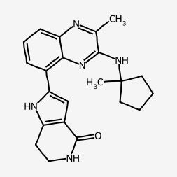 Cc1nc2cccc(-c3cc4c([nH]3)CCNC4=O)c2nc1NC1(C)CCCC1